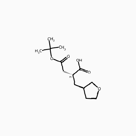 CC(C)(C)OC(=O)C[C@@H](CC1CCOC1)C(=O)O